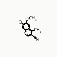 COc1cc2c(C)c(C#N)cnc2cc1O